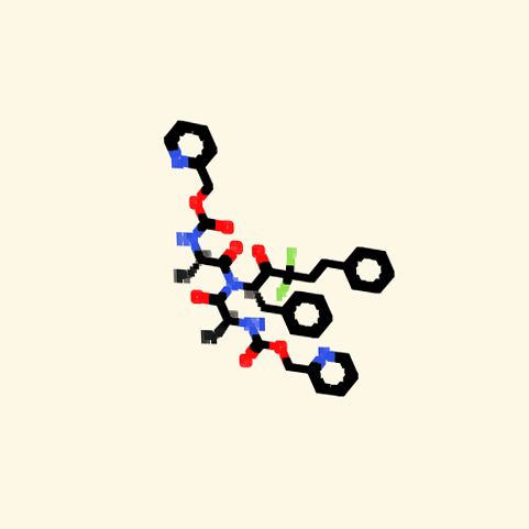 CC(C)[C@H](NC(=O)OCc1ccccn1)C(=O)N(C(=O)[C@@H](NC(=O)OCc1ccccn1)C(C)C)[C@@H](Cc1ccccc1)C(=O)C(F)(F)CCc1ccccc1